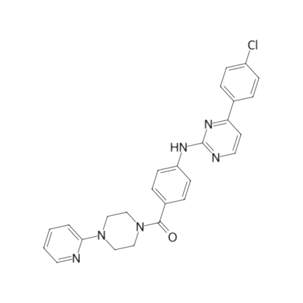 O=C(c1ccc(Nc2nccc(-c3ccc(Cl)cc3)n2)cc1)N1CCN(c2ccccn2)CC1